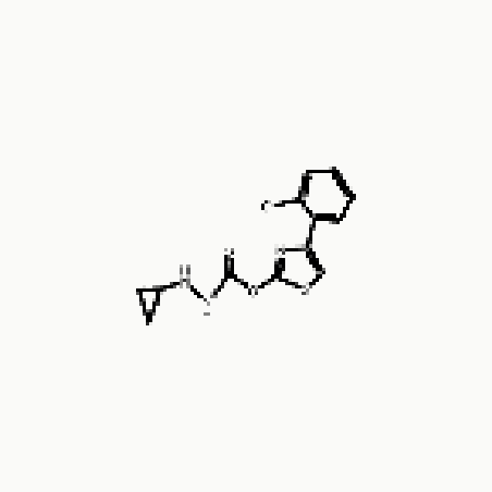 O=C(NNC1CC1)Oc1nc(-c2ccccc2Cl)cs1